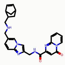 O=C(NCc1cn2cc(CNCC3CC4C=CC3C4)ccc2n1)c1cc(=O)n2ccccc2n1